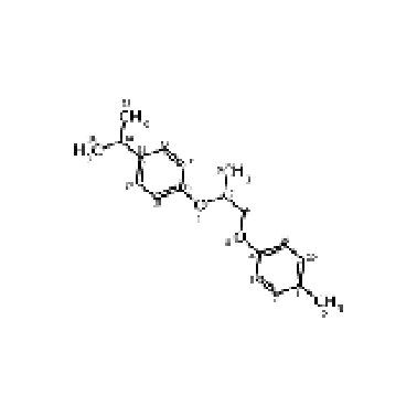 Cc1ccc(OCC(C)Oc2ccc(C(C)C)cc2)cc1